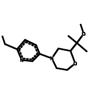 CCc1ccc(N2CCOC(C(C)(C)OC)C2)cn1